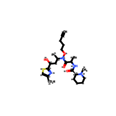 C#CCCCON(C(=O)C(NC(=O)[C@H]1CCCCN1C)C(C)CC)C(CC(O)c1nc(C(=O)O)cs1)C(C)C